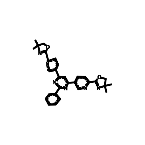 CC1(C)COC(c2ccc(-c3cc(-c4ccc(C5=NC(C)(C)CO5)nc4)nc(-c4ccccc4)n3)cn2)=N1